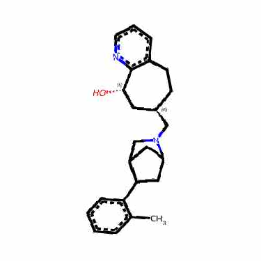 Cc1ccccc1C1CC2CC1CN2C[C@@H]1CCc2cccnc2[C@@H](O)C1